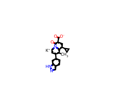 Cc1c(-c2ccc3cn[nH]c3c2)ccn2c(=O)c(C(=O)[O-])cc(C3CC3)c12.[K+]